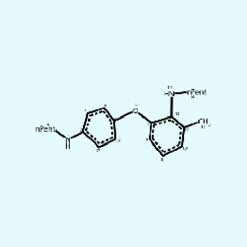 CCCCCNc1ccc(Oc2cccc(C)c2NCCCCC)cc1